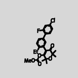 CCc1ccc(-c2ccc(Cl)cc2F)cc1C1=C(OC(=O)OC)C(C)(C)OC(C)(C)C1=O